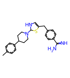 Cc1ccc(C2CCN(C3NC=C(Cc4ccc(C(=N)N)cc4)S3)CC2)cc1